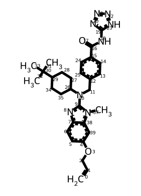 C=CCOc1ccc2nc(N(Cc3ccc(C(=O)Nc4nnn[nH]4)cc3)C3CCC(C(C)(C)C)CC3)n(C)c2c1